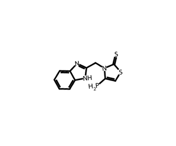 Pc1csc(=S)n1Cc1nc2ccccc2[nH]1